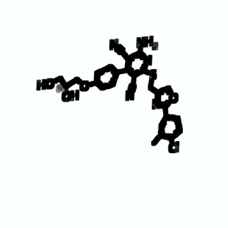 Cc1cc(-c2nc(CSc3nc(N)c(C#N)c(-c4ccc(OC[C@H](O)CO)cc4)c3C#N)co2)ccc1Cl